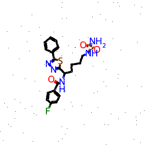 NS(=O)(=O)NCCCCC(NC(=O)c1ccc(F)cc1)c1nnc(-c2ccccc2)s1